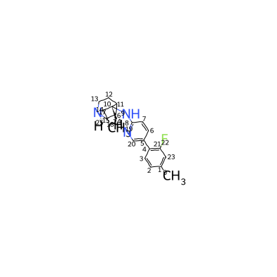 Cc1ccc(-c2ccc(N[C@H]3C4CCN(CC4)[C@@H]3C)nc2)c(F)c1